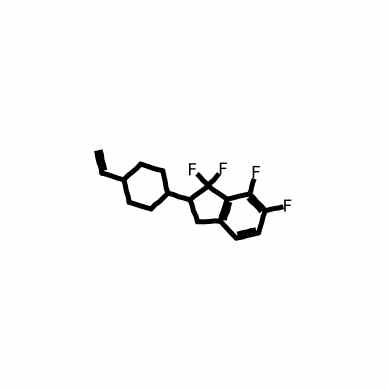 C=CC1CCC(C2Cc3ccc(F)c(F)c3C2(F)F)CC1